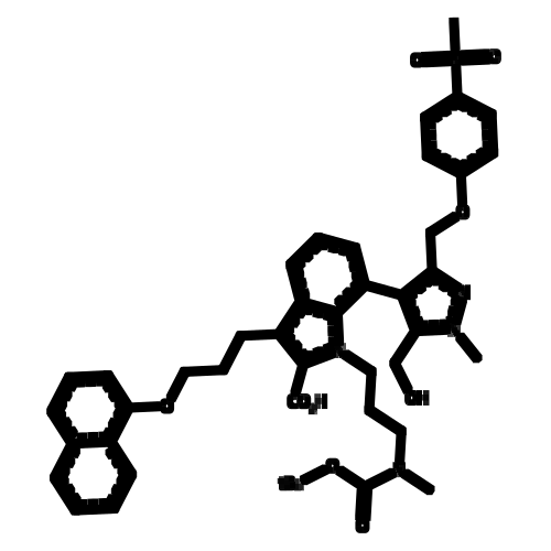 CN(CCCn1c(C(=O)O)c(CCCOc2cccc3ccccc23)c2cccc(-c3c(COc4ccc(S(C)(=O)=O)cc4)nn(C)c3CO)c21)C(=O)OC(C)(C)C